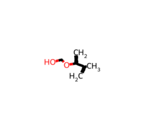 C=C(C)C(=C)OCO